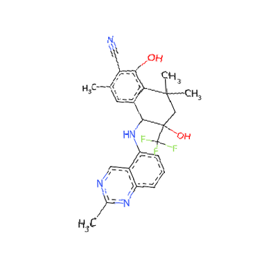 Cc1ncc2c(NC3c4cc(C)c(C#N)c(O)c4C(C)(C)CC3(O)C(F)(F)F)cccc2n1